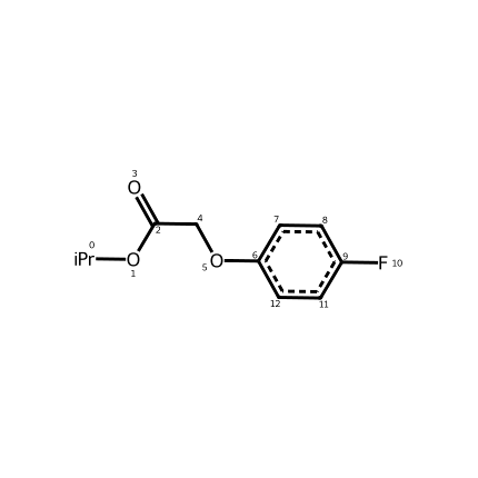 CC(C)OC(=O)COc1ccc(F)cc1